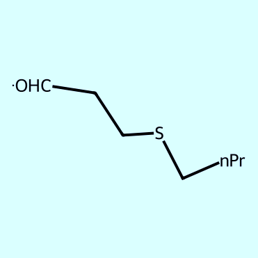 CCCCSCC[C]=O